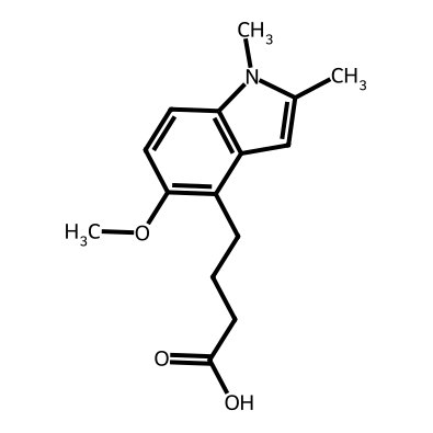 COc1ccc2c(cc(C)n2C)c1CCCC(=O)O